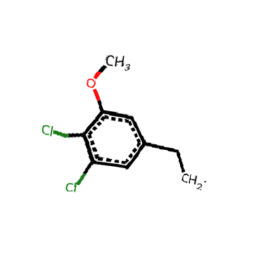 [CH2]Cc1cc(Cl)c(Cl)c(OC)c1